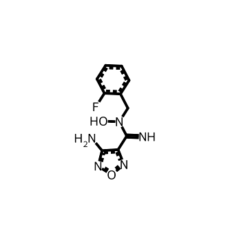 N=C(c1nonc1N)N(O)Cc1ccccc1F